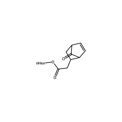 CCCCCCOC(=O)CC1CC2C=CC1C2=O